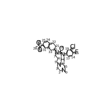 CN1CCN(CCCN(C(=O)Nc2ccc(F)c(Cl)c2)C2CCc3ccc(S(C)(=O)=O)cc3C2)CC1